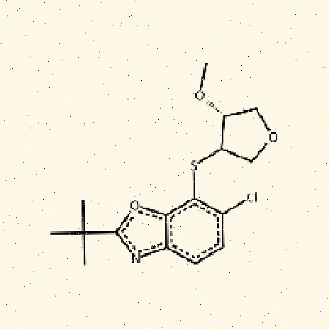 CO[C@@H]1COCC1Sc1c(Cl)ccc2nc(C(C)(C)C)oc12